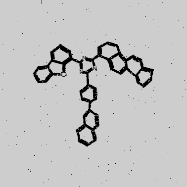 c1ccc2cc(-c3ccc(-c4nc(-c5cccc6c5ccc5c7ccccc7ccc65)nc(-c5cccc6c5oc5ccccc56)n4)cc3)ccc2c1